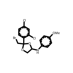 COc1ccc(NC2COC(CBr)(c3ccc(Cl)cc3Cl)O2)cc1